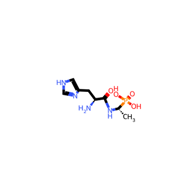 C[C@H](NC(=O)[C@@H](N)Cc1c[nH]cn1)P(=O)(O)O